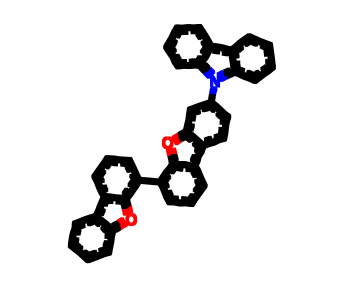 c1ccc2c(c1)oc1c(-c3cccc4c3oc3cc(-n5c6ccccc6c6ccccc65)ccc34)cccc12